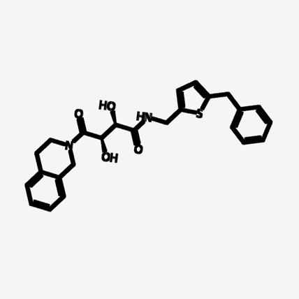 O=C(NCc1ccc(Cc2ccccc2)s1)[C@H](O)[C@@H](O)C(=O)N1CCc2ccccc2C1